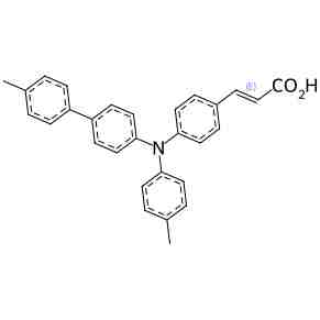 Cc1ccc(-c2ccc(N(c3ccc(C)cc3)c3ccc(/C=C/C(=O)O)cc3)cc2)cc1